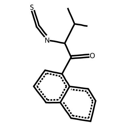 CC(C)C(N=C=S)C(=O)c1cccc2ccccc12